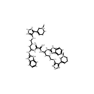 CN1CCC=C(c2nsnc2SCCCC(OC(=O)C(=O)OC(CCCSc2nsnc2C2=CCCN(C)C2)Sc2nc3ccccc3o2)Sc2nc3ccccc3o2)C1